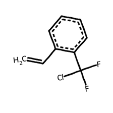 C=Cc1ccccc1C(F)(F)Cl